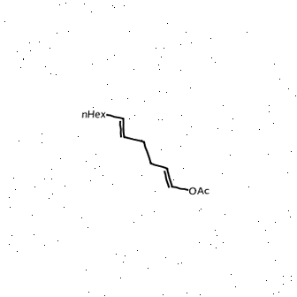 CCCCCCC=CCCC=COC(C)=O